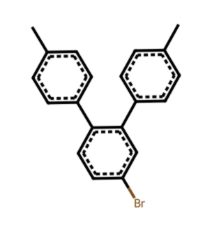 Cc1ccc(-c2ccc(Br)cc2-c2ccc(C)cc2)cc1